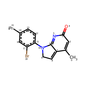 CC1=CC(=O)N=C2C1=CCN2c1ccc(C(C)C)cc1Br